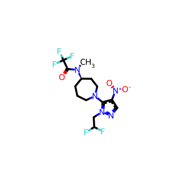 CN(C(=O)C(F)(F)F)[C@@H]1CCCN(c2c([N+](=O)[O-])cnn2CC(F)F)CC1